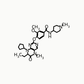 CCC1C(=O)N(C)c2cnc(Oc3ccc(C(=O)NC4CCN(C)CC4)cc3OC)nc2N1C1CCCC1